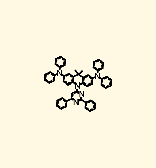 CC1(C)c2cc(N(c3ccccc3)c3ccccc3)ccc2N(c2cc(-c3ccccc3)nc(-c3ccccc3)n2)c2ccc(N(c3ccccc3)c3ccccc3)cc21